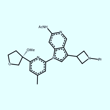 CO[C@@]1(c2cc(C)cc(-n3cc(C4CN(C(C)C)C4)c4cnc(NC(C)=O)cc43)n2)CCOC1